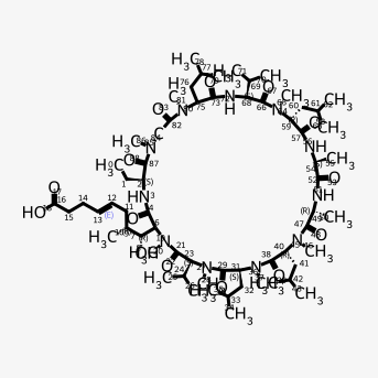 CC[C@@H]1NC(=O)C([C@H](O)[C@H](C)C/C=C/CCC(=O)O)N(C)C(=O)[C@H](C(C)C)N(C)C(=O)[C@H](CC(C)C)N(C)C(=O)[C@@H](CC(C)C)N(C)C(=O)[C@@H](C)NC(=O)[C@H](C)NC(=O)[C@@H](CC(C)C)N(C)C(=O)[C@H](C(C)C)NC(=O)C(CC(C)C)N(C)C(=O)CN(C)C1=O